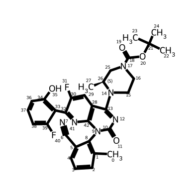 Cc1cccc(C#N)c1-n1c(=O)nc(N2CCN(C(=O)OC(C)(C)C)C[C@@H]2C)c2cc(F)c(-c3c(O)cccc3F)nc21